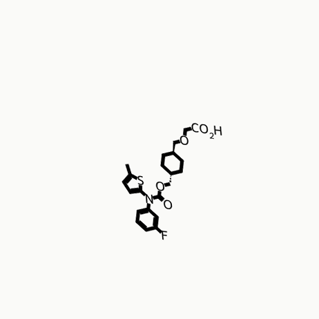 Cc1ccc(N(C(=O)OC[C@H]2CC[C@H](COCC(=O)O)CC2)c2cccc(F)c2)s1